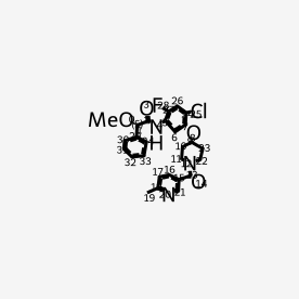 CO[C@H](C(=O)Nc1cc(OC2CCN(C(=O)c3ccc(C)nc3)CC2)c(Cl)cc1F)c1ccccc1